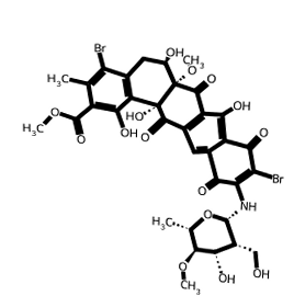 COC(=O)c1c(C)c(Br)c2c(c1O)[C@]1(O)C(=O)c3cc4c(c(O)c3C(=O)[C@]1(OC)[C@H](O)C2)C(=O)C(Br)=C(N[C@H]1O[C@@H](C)[C@H](OC)[C@@H](O)[C@H]1CO)C4=O